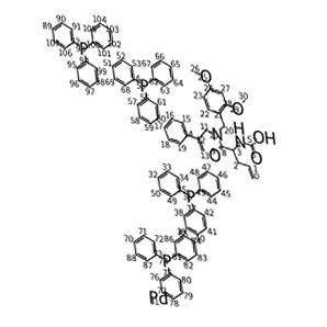 C=CCC(NC(=O)O)C(=O)N(CC(=C)c1ccccc1)Cc1ccc(OC)cc1OC.[Pd].c1ccc(P(c2ccccc2)c2ccccc2)cc1.c1ccc(P(c2ccccc2)c2ccccc2)cc1.c1ccc(P(c2ccccc2)c2ccccc2)cc1.c1ccc(P(c2ccccc2)c2ccccc2)cc1